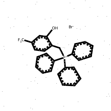 Oc1cc(C(F)(F)F)ccc1C[P+](c1ccccc1)(c1ccccc1)c1ccccc1.[Br-]